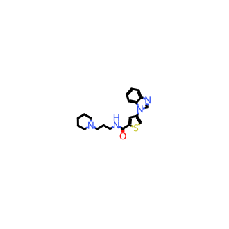 O=C(NCCCN1CCCCC1)c1cc(-n2cnc3ccccc32)cs1